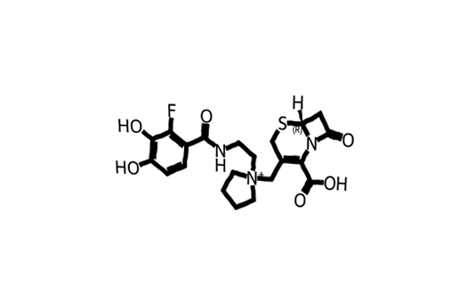 O=C(O)C1=C(C[N+]2(CCNC(=O)c3ccc(O)c(O)c3F)CCCC2)CS[C@@H]2CC(=O)N12